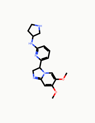 COC1=CC2=NCC(c3cccc(NC4CCNC4)n3)N2C=C1OC